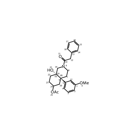 COc1cccc([C@]23CCN(C(=O)Cc4ccccc4)C[C@]2(O)CCC(OC(C)=O)C3)c1